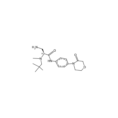 CN(CC(C)(C)C)[C@@H](CN)C(=O)Nc1ccc(N2CCOCC2=O)cc1